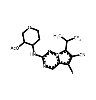 CC(=O)OC1COCCC1Nc1ncc2c(I)c(C#N)c(C(C)C(F)(F)F)n2n1